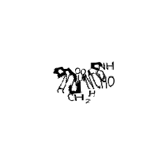 C=C1C[C@@H](C(=O)N[C@H](C=O)C[C@@H]2CCNC2=O)N(C(=O)c2cc3ccccc3[nH]2)C1